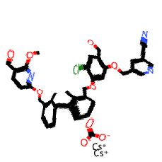 COc1nc(OCc2cccc(-c3cccc(COc4cc(OCc5cncc(C#N)c5)c(C=O)cc4Cl)c3C)c2C)ccc1C=O.O=C([O-])[O-].[Cs+].[Cs+]